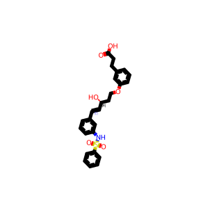 O=C(O)CCc1cccc(OCC[C@@H](O)/C=C/c2cccc(NS(=O)(=O)c3ccccc3)c2)c1